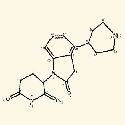 O=C1CCC(N2C(=O)Cc3c(C4CCNCC4)cccc32)C(=O)N1